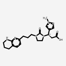 Cn1cc([C@@H](CC(=O)O)N2CCN(CCCc3ccc4c(n3)NCCC4)C2=O)cn1